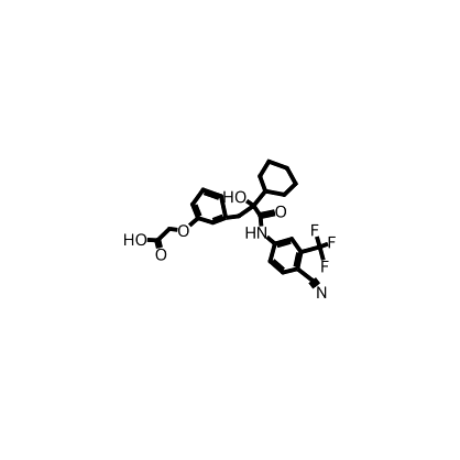 N#Cc1ccc(NC(=O)C(O)(Cc2cccc(OCC(=O)O)c2)C2CCCCC2)cc1C(F)(F)F